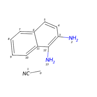 CC#N.Nc1ccc2ccccc2c1N